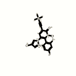 CCn1c(-c2c(F)cc(F)cc2F)c(-n2cc(Cl)cn2)cc(C#CS(C)(C)C)c1=O